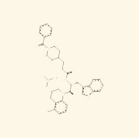 CN(C)C[C@H]1Cc2c(Cl)cccc2N(C(=O)[C@H](Cc2c[nH]c3ccccc23)NC(=O)CCC2CCN(C(=O)c3ccccc3)CC2)C1